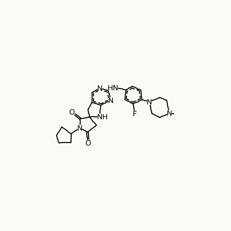 CN1CCN(c2ccc(Nc3ncc4c(n3)NC3(CC(=O)N(C5CCCC5)C3=O)C4)cc2F)CC1